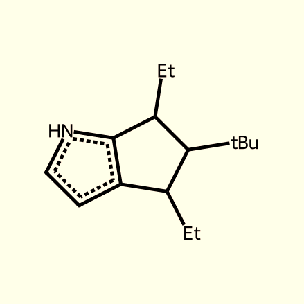 CCC1c2cc[nH]c2C(CC)C1C(C)(C)C